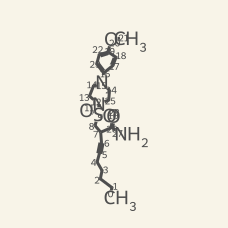 CCCCCC#CC(CS(=O)(=O)N1CCN(c2ccc(OC)cc2)CC1)C(N)=O